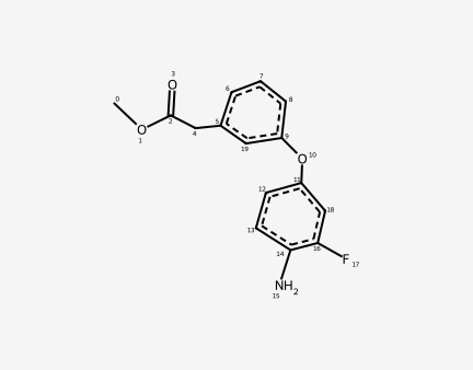 COC(=O)Cc1cccc(Oc2ccc(N)c(F)c2)c1